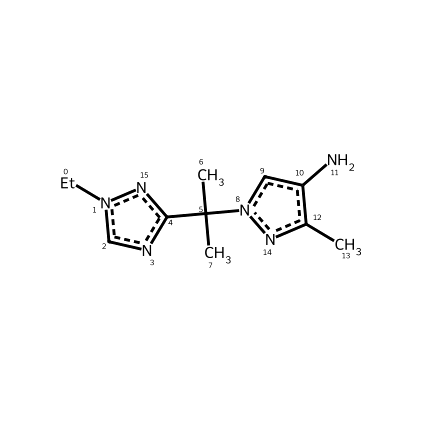 CCn1cnc(C(C)(C)n2cc(N)c(C)n2)n1